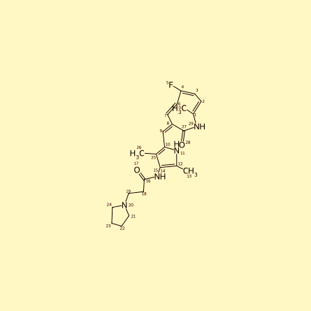 C\C1=C/C=C(F)\C=C\C(=C\c2[nH]c(C)c(NC(=O)CCN3CCCC3)c2C)C(=O)N1